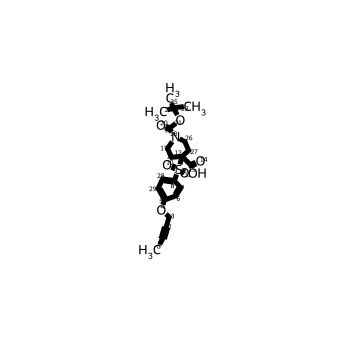 CC#CCOc1ccc(S(=O)(=O)C2(C(=O)O)CCN(C(=O)OC(C)(C)C)CC2)cc1